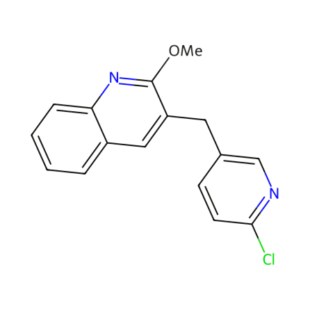 COc1nc2ccccc2cc1Cc1ccc(Cl)nc1